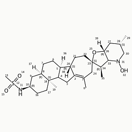 CC1=C2CC3[C@@H](CC[C@@H]4C[C@H](NS(C)(=O)=O)CC[C@]34C)[C@@H]2CC[C@@]2(C1)O[C@@H]1C[C@H](C)CN(O)C1[C@H]2C